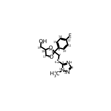 Cn1ncnc1SCC1(c2ccc(F)cc2)OCC(CO)O1